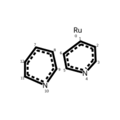 [Ru].c1ccncc1.c1ccncc1